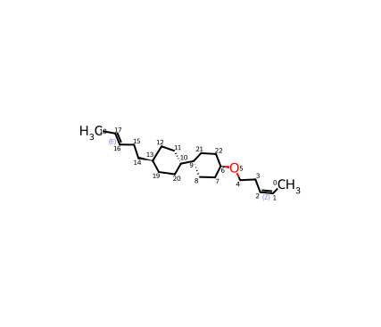 C/C=C\CCO[C@H]1CC[C@H]([C@H]2CC[C@H](CC/C=C/C)CC2)CC1